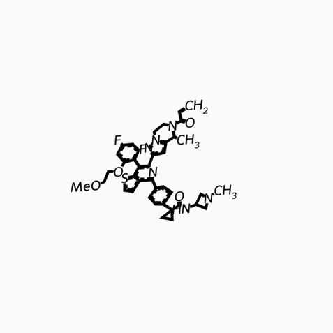 C=CC(=O)N1CCn2nc(-c3nc(-c4ccc(C5(C(=O)NC6CN(C)C6)CC5)cc4)c4ccsc4c3-c3c(F)cc(F)cc3OCCOC)cc2C1C